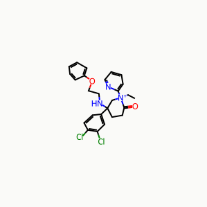 CC[N+]1(c2ccccn2)CC(NCCOc2ccccc2)(c2ccc(Cl)c(Cl)c2)CCC1=O